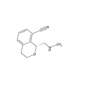 CNC[C@@H]1OCCc2cccc(C#N)c21